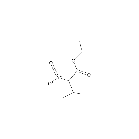 CCOC(=O)C(C(C)C)[N+](=O)[O-]